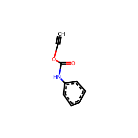 C#COC(=O)Nc1ccccc1